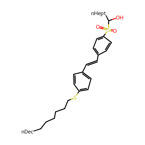 CCCCCCCCCCCCCCCCSc1ccc(C=Cc2ccc(S(=O)(=O)C(O)CCCCCCC)cc2)cc1